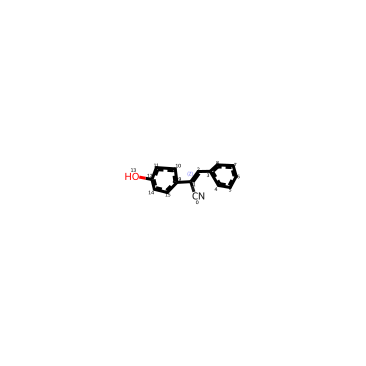 N#C/C(=C\c1ccccc1)c1ccc(O)cc1